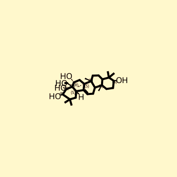 CC1(C)C[C@H]2C3=CCC4[C@@]5(C)CC[C@H](O)C(C)(C)C5CC[C@@]4(C)[C@]3(C)C[C@@H](O)[C@@]2(CO)[C@@H](O)[C@@H]1O